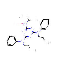 CCCN(c1ccccc1)c1nc(N(CCC)c2ccccc2)nc(N(O)C(C)C)n1